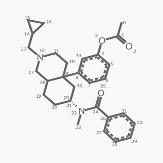 CC(=O)Oc1cccc(C23CCN(CC4CC4)CC2CC[C@@H](N(C)C(=O)c2ccccc2)C3)c1